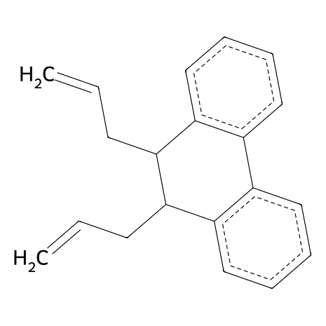 C=CCC1c2ccccc2-c2ccccc2C1CC=C